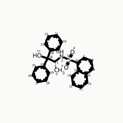 C[C@@H](NS(=O)(=O)c1cccc2ccccc12)C(O)(c1ccccc1)c1ccccc1